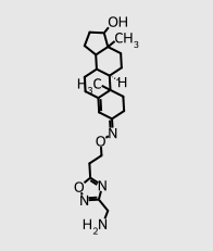 CC12CC[C@@H]3C(CCC4=CC(=NOCCc5nc(CN)no5)CCC43C)C1CCC2O